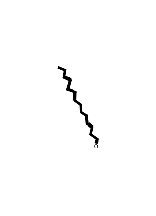 CCC=CCC=CCCCC=CCC=O